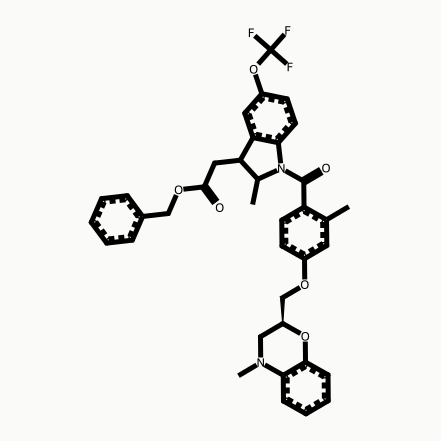 Cc1cc(OC[C@@H]2CN(C)c3ccccc3O2)ccc1C(=O)N1c2ccc(OC(F)(F)F)cc2C(CC(=O)OCc2ccccc2)C1C